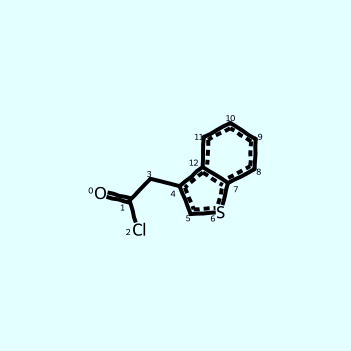 O=C(Cl)Cc1csc2ccccc12